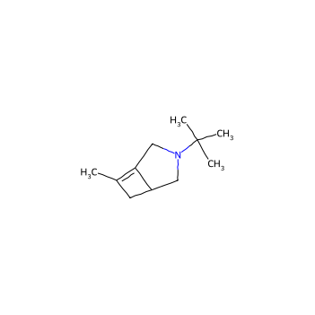 CC1=C2CN(C(C)(C)C)CC2C1